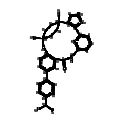 O=C1Nc2cccc(n2)-c2nncn2[C@H]2CC[C@H](CC2)Oc2ccc(-c3ccc(C(F)F)nc3)cc21